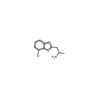 CC(N)Cc1nc2cccc(Cl)c2s1